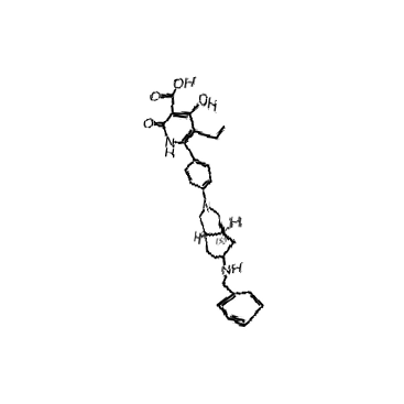 CCc1c(-c2ccc(N3C[C@H]4CC(NCc5ccccc5)C[C@H]4C3)cc2)[nH]c(=O)c(C(=O)O)c1O